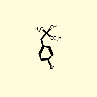 CC(O)(Cc1ccc(Br)cc1)C(=O)O